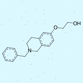 OCCOc1ccc2c(c1)CCN(Cc1ccccc1)C2